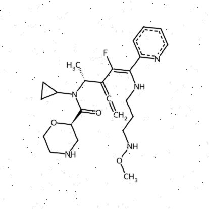 C=C=C(/C(F)=C(\NCCCNOC)c1ccccn1)[C@@H](C)N(C(=O)[C@H]1CNCCO1)C1CC1